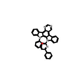 c1ccc(-c2ccnc(-n3c4ccccc4c4c5cncnc5c5c6ccccc6n(-c6ccccc6)c5c43)n2)cc1